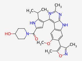 COc1cc2c(cc1-c1c(C)noc1C)[nH]c1nc(C)nc(-c3cc(C(=O)N4CCC(O)CC4)[nH]c3C(C)C)c12